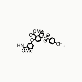 COC(=N)c1cccc(Oc2ccc3c(ccn3S(=O)(=O)c3ccc(C)cc3)c2C(=O)OC)c1